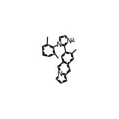 Cc1cc2cc3cccn3cc2cc1-c1n(-c2c(C)cccc2C)cc[n+]1C